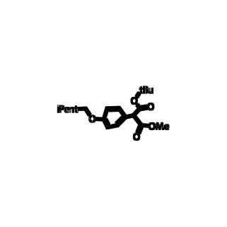 CCCC(C)COc1ccc(C(C(=O)OC)C(=O)OC(C)(C)C)cc1